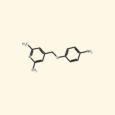 Cc1cc(COc2ccc(N)cc2)cc(C)n1